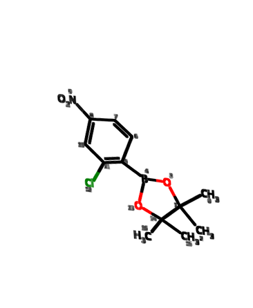 CC1(C)OB(c2ccc([N+](=O)[O-])cc2Cl)OC1(C)C